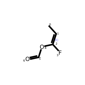 C/C=C(/F)O[C]=O